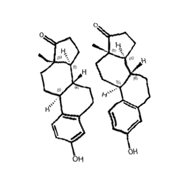 C[C@]12CC[C@@H]3c4ccc(O)cc4CC[C@H]3[C@@H]1CCC2=O.C[C@]12CC[C@@H]3c4ccc(O)cc4CC[C@H]3[C@@H]1CCC2=O